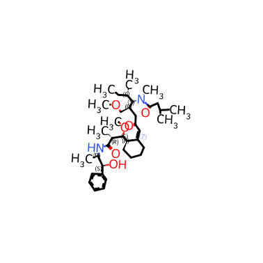 CC[C@H](C)[C@@H]([C@H](COC)CC(=O)/C=C1/CCCC[C@H]1[C@H](OC)[C@@H](C)C(=O)N[C@H](C)[C@@H](O)c1ccccc1)N(C)C(=O)CC(C)C